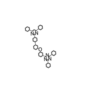 c1ccc(-c2cc(-c3ccccc3)nc(-c3ccc(-c4cccc(Oc5cccc(-c6nc(-c7ccccc7)nc(-c7ccccc7)n6)c5)c4)cc3)n2)cc1